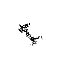 Cc1sc2c(c1C)C(c1ccc(Cl)cc1)=N[C@@H](CC(=O)N1CCC(N(C)C(=O)c3ccc(C(=O)OC(=O)C(F)(F)F)c(C#CCN)c3)CC1)c1nnc(C)n1-2